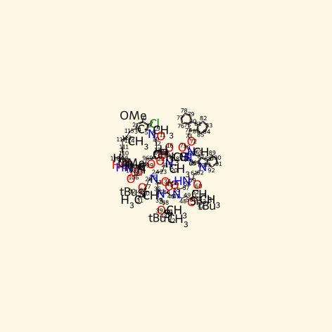 COc1cc2cc(c1Cl)N(C)C(=O)C[C@H](OC(=O)[C@H](C)N(C)C(=O)CCN(CCO[Si](C)(C)C(C)(C)C)C(=O)CN(CCO[Si](C)(C)C(C)(C)C)C(=O)CN(CCO[Si](C)(C)C(C)(C)C)C(=O)CNC(=O)CCn1c(CN(C)N(C)C(=O)OCC3c4ccccc4-c4ccccc43)cc3ccccc31)[C@@]1(C)CC(C)(O1)[C@@H]1C[C@@](O)(NC(=O)O1)[C@H](OC)/C=C/C=C(\C)C2